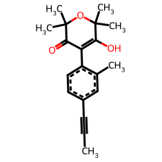 CC#Cc1ccc(C2=C(O)C(C)(C)OC(C)(C)C2=O)c(C)c1